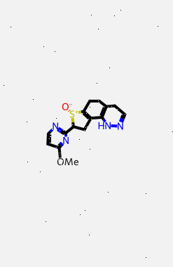 COc1ccnc(C2CC3=C(CCC4=C3NN=CC4)[S+]2[O-])n1